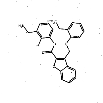 CCOC(=O)Cc1ccccc1OCc1c(C(=O)Oc2cccc(CN)c2CC)oc2ccccc12